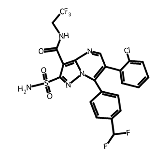 NS(=O)(=O)c1nn2c(-c3ccc(C(F)F)cc3)c(-c3ccccc3Cl)cnc2c1C(=O)NCC(F)(F)F